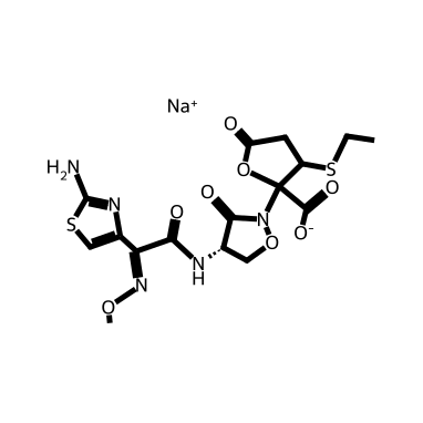 CCSC1CC(=O)OC1(C(=O)[O-])N1OC[C@H](NC(=O)C(=NOC)c2csc(N)n2)C1=O.[Na+]